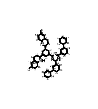 CC1=CC2CCC(C3CC(C4CCC5=C(CCC(C)=C5)N4)=CC(C4=NC(C5=CC(C6C=CC=CC6)CC=C5)NC(C5=CCCC(C6CC=CCC6)=C5)=N4)C3)N=C2C=C1